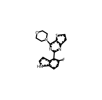 Fc1ccc2[nH]ccc2c1-c1nc(N2CCOCC2)c2sccc2n1